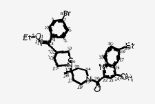 CCON=C(c1ccc(Br)cc1)C1CCN(C2(C)CCN(C(=O)c3cc(O)c4cc(CC)ccc4n3)CC2)CC1